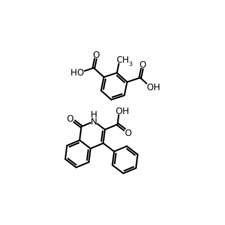 Cc1c(C(=O)O)cccc1C(=O)O.O=C(O)c1[nH]c(=O)c2ccccc2c1-c1ccccc1